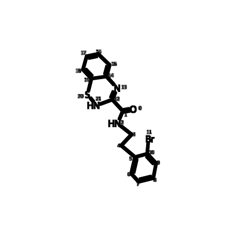 O=C(NCCc1ccccc1Br)C1=Nc2ccccc2SN1